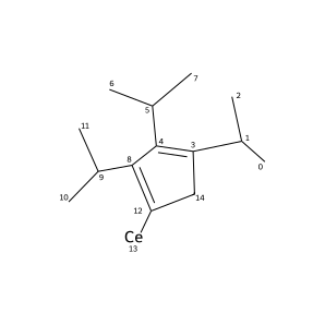 CC(C)C1=C(C(C)C)C(C(C)C)=[C]([Ce])C1